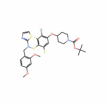 COc1ccc(CN(Sc2c(F)cc(OC3CCN(C(=O)OC(C)(C)C)CC3)c(Cl)c2F)c2nccs2)c(OC)c1